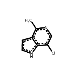 Cc1ncc(Cl)c2[nH]ccc12